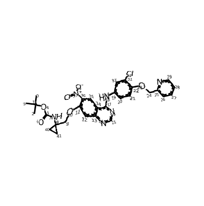 CC(C)(C)OC(=O)NC1(COc2cc3ncnc(Nc4ccc(OCc5ccccn5)c(Cl)c4)c3cc2[N+](=O)[O-])CC1